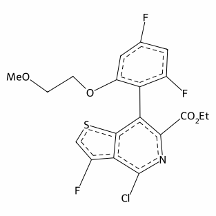 CCOC(=O)c1nc(Cl)c2c(F)csc2c1-c1c(F)cc(F)cc1OCCOC